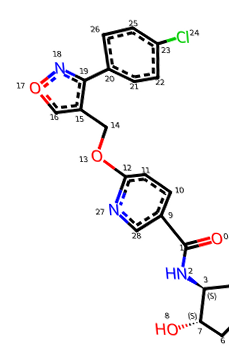 O=C(N[C@H]1CCC[C@@H]1O)c1ccc(OCc2conc2-c2ccc(Cl)cc2)nc1